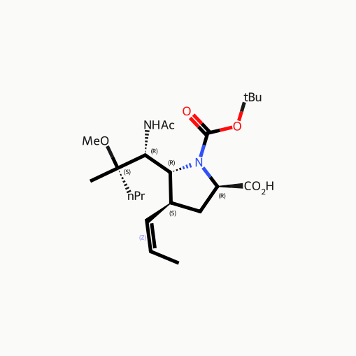 C/C=C\[C@@H]1C[C@H](C(=O)O)N(C(=O)OC(C)(C)C)[C@H]1[C@@H](NC(C)=O)[C@](C)(CCC)OC